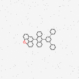 c1ccc(-c2cc(-c3ccccc3)cc(-c3c4ccccc4c(-c4cc5cccc6oc7cccc4c7c56)c4ccccc34)c2)cc1